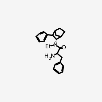 CCN(C(=O)C(N)Cc1ccccc1)[C@H]1C2CCC(C2)C1c1ccccc1